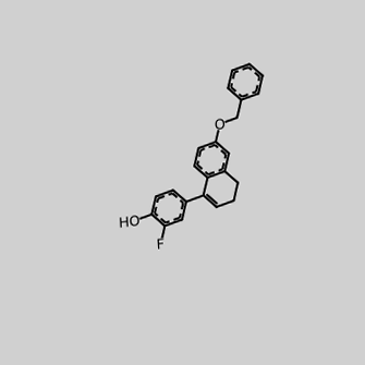 Oc1ccc(C2=CCCc3cc(OCc4ccccc4)ccc32)cc1F